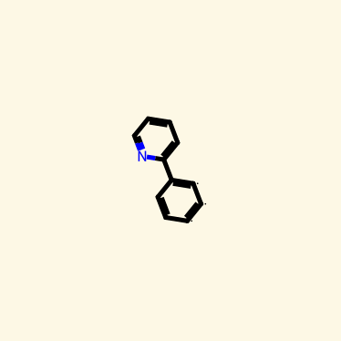 [c]1[c]ccc(-c2ccccn2)[c]1